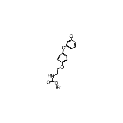 CC(C)OC(=O)NCCOc1ccc(Oc2cccc(Cl)c2)cc1